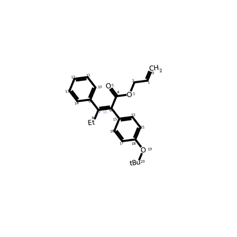 C=CCOC(=O)/C(=C(/CC)c1ccccc1)c1ccc(OC(C)(C)C)cc1